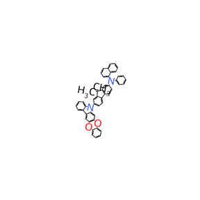 CC1(C)c2cc(N(c3ccccc3)c3cccc4ccccc34)ccc2-c2ccc(-n3c4ccccc4c4cc5c(cc43)Oc3ccccc3O5)cc21